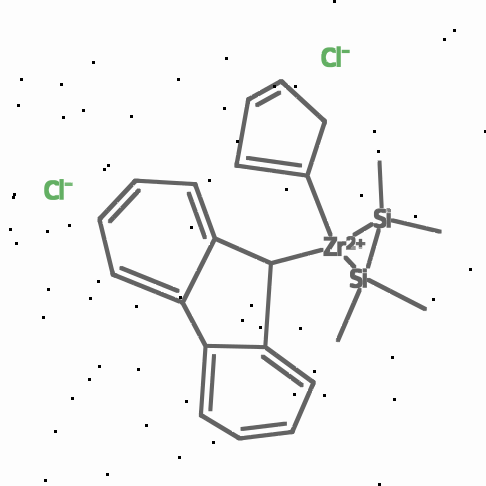 C[Si]1(C)[Si](C)(C)[Zr+2]1([C]1=CC=CC1)[CH]1c2ccccc2-c2ccccc21.[Cl-].[Cl-]